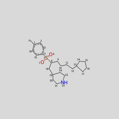 Cc1ccc(S(=O)(=O)C(CCCCC2CCCC2)CC2CCNCC2)cc1